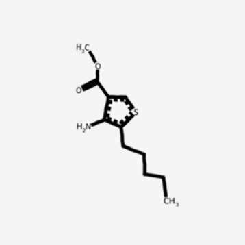 CCCCCc1scc(C(=O)OC)c1N